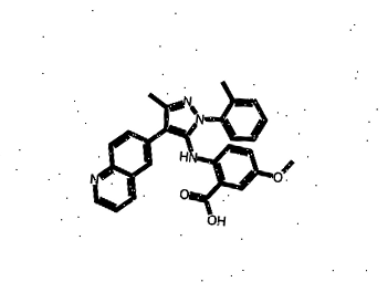 COc1ccc(Nc2c(-c3ccc4ncccc4c3)c(C)nn2-c2ccccc2C)c(C(=O)O)c1